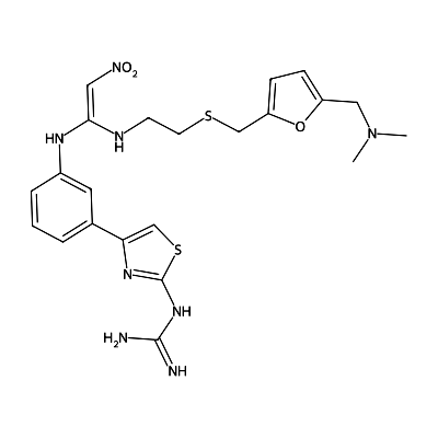 CN(C)Cc1ccc(CSCCNC(=C[N+](=O)[O-])Nc2cccc(-c3csc(NC(=N)N)n3)c2)o1